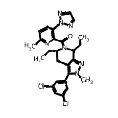 CCC1Cc2c(nn(C)c2-c2cc(Cl)cc(Cl)c2)C(CC)N1C(=O)c1nc(C)ccc1-n1nccn1